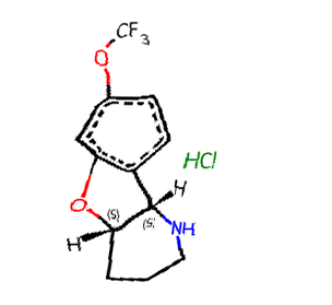 Cl.FC(F)(F)Oc1ccc2c(c1)O[C@H]1CCCN[C@@H]21